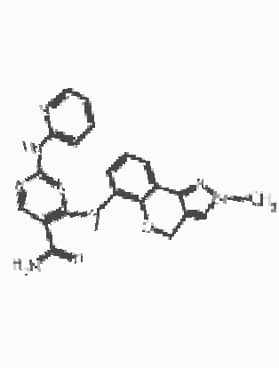 Cn1cc2c(n1)-c1cccc(Nc3nc(Nc4ccccn4)ncc3C(N)=O)c1OC2